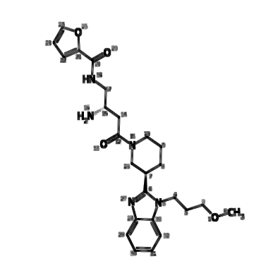 COCCCn1c([C@@H]2CCCN(C(=O)C[C@H](N)CNC(=O)c3ccco3)C2)nc2ccccc21